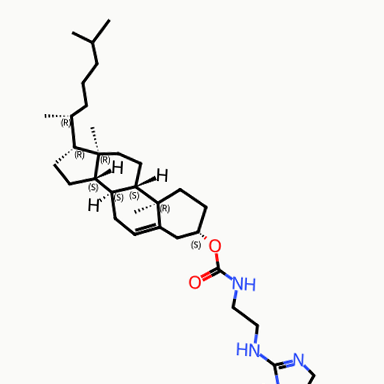 CC(C)CCC[C@@H](C)[C@H]1CC[C@H]2[C@@H]3CC=C4C[C@@H](OC(=O)NCCNC5=NCCN5)CC[C@]4(C)[C@H]3CC[C@]12C